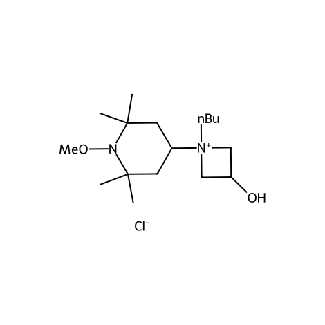 CCCC[N+]1(C2CC(C)(C)N(OC)C(C)(C)C2)CC(O)C1.[Cl-]